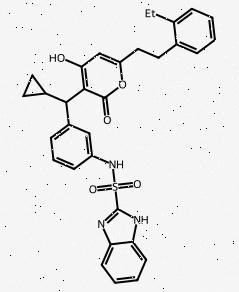 CCc1ccccc1CCc1cc(O)c(C(c2cccc(NS(=O)(=O)c3nc4ccccc4[nH]3)c2)C2CC2)c(=O)o1